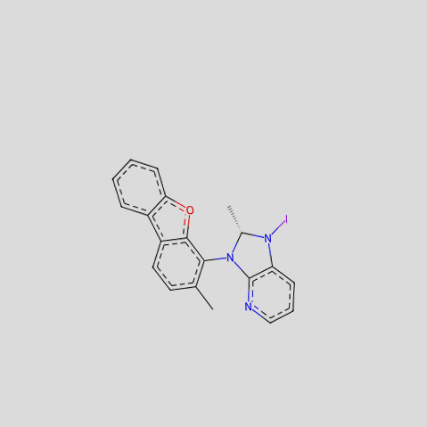 Cc1ccc2c(oc3ccccc32)c1N1c2ncccc2N(I)[C@H]1C